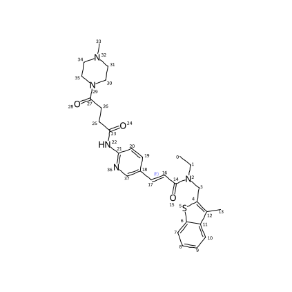 CCN(Cc1sc2ccccc2c1C)C(=O)/C=C/c1ccc(NC(=O)CCC(=O)N2CCN(C)CC2)nc1